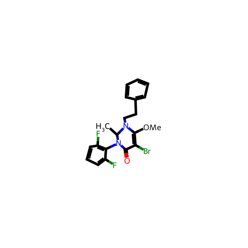 COC1=C(Br)C(=O)N(c2c(F)cccc2F)C(C)N1CCc1ccccc1